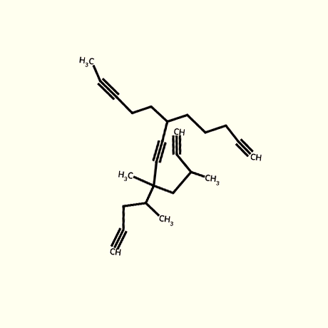 C#CCCCC(C#CC(C)(CC(C)C#C)C(C)CC#C)CCC#CC